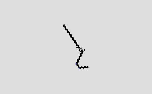 CCCCC/C=C\C/C=C\CCCCCCCC(=O)OOC(=O)CCCCCCCCCCCCCCCCC